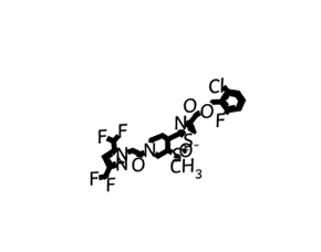 C[S+]([O-])C1CN(C(=O)Cn2nc(C(F)F)cc2C(F)F)CCC1c1nc(C(=O)OCc2c(F)cccc2Cl)cs1